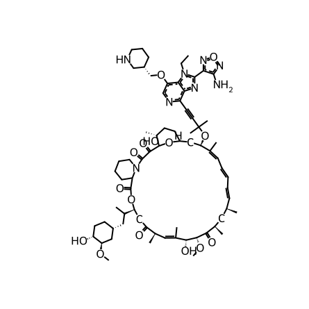 CCn1c(-c2nonc2N)nc2c(C#CC(C)(C)O[C@@H]3C[C@@H]4CC[C@@H](C)[C@@](O)(O4)C(=O)C(=O)N4CCCCC4C(=O)O[C@H](C(C)C[C@H]4CC[C@@H](O)[C@H](OC)C4)CC(=O)[C@H](C)/C=C(\C)[C@@H](O)[C@@H](OC)C(=O)[C@H](C)C[C@H](C)/C=C/C=C/C=C\3C)ncc(OC[C@H]3CCCNC3)c21